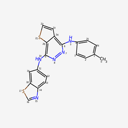 Cc1ccc(Nc2nnc(Nc3ccc4ncsc4c3)c3sccc23)cc1